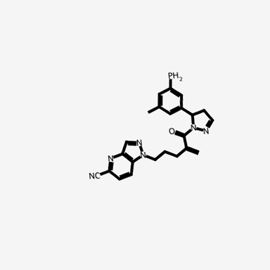 C=C(CCCn1ncc2nc(C#N)ccc21)C(=O)N1N=CCC1c1cc(C)cc(P)c1